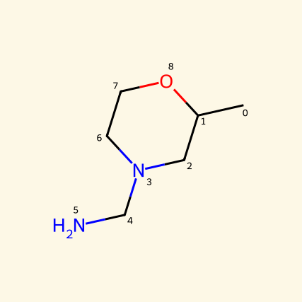 CC1CN(CN)CCO1